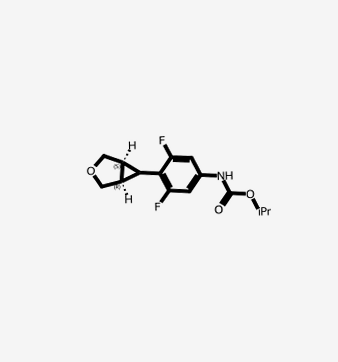 CC(C)OC(=O)Nc1cc(F)c(C2[C@H]3COC[C@@H]23)c(F)c1